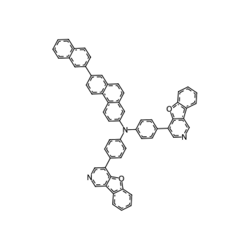 c1ccc2cc(-c3ccc4c(ccc5cc(N(c6ccc(-c7cncc8c7oc7ccccc78)cc6)c6ccc(-c7cncc8c7oc7ccccc78)cc6)ccc54)c3)ccc2c1